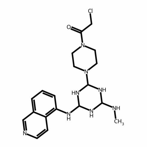 CNC1NC(Nc2cccc3cnccc23)NC(N2CCN(C(=O)CCl)CC2)N1